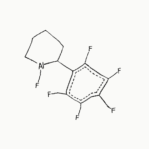 Fc1c(F)c(F)c([CH]2CCC[CH2][Al]2[F])c(F)c1F